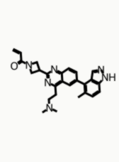 C=CC(=O)N1CC(c2nc(CCN(C)C)c3cc(-c4c(C)ccc5[nH]ncc45)ccc3n2)C1